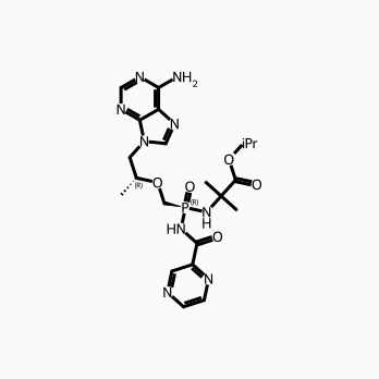 CC(C)OC(=O)C(C)(C)N[P@](=O)(CO[C@H](C)Cn1cnc2c(N)ncnc21)NC(=O)c1cnccn1